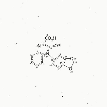 O=C(O)c1nc2ccccc2n(-c2ccc3c(c2)OCO3)c1=O